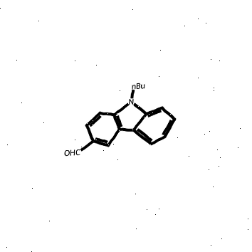 CCCCn1c2[c]cc(C=O)cc2c2ccccc21